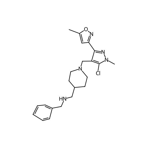 Cc1cc(-c2nn(C)c(Cl)c2CN2CCC(CNCc3ccccc3)CC2)no1